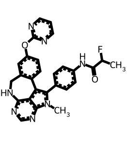 CC(F)C(=O)Nc1ccc(-c2c3c4c(ncnc4n2C)NCc2cc(Oc4ncccn4)ccc2-3)cc1